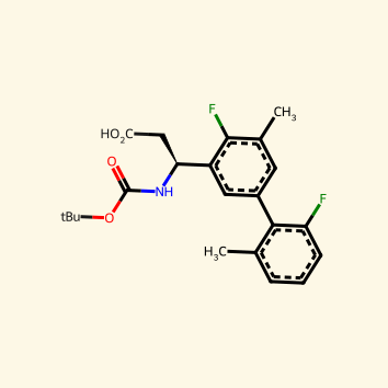 Cc1cc(-c2c(C)cccc2F)cc([C@H](CC(=O)O)NC(=O)OC(C)(C)C)c1F